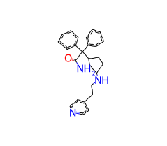 NC(=O)C(c1ccccc1)(c1ccccc1)C1CCC(NCCc2ccncc2)C1